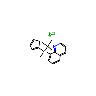 C[C](C)(C)[Cr]([CH3])([C]1=CC=CC1)[c]1cccc2cccnc12.Cl.Cl